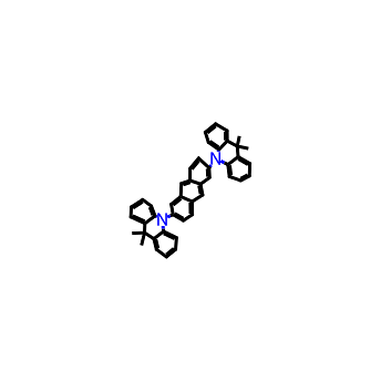 CC1(C)c2ccccc2N(c2ccc3cc4cc(N5c6ccccc6C(C)(C)c6ccccc65)ccc4cc3c2)c2ccccc21